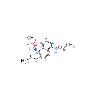 C=CCc1ccc2c(NOCC)cccc2c1NOCC